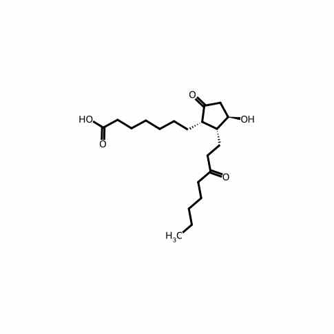 CCCCCC(=O)CC[C@H]1[C@H](O)CC(=O)[C@H]1CCCCCCC(=O)O